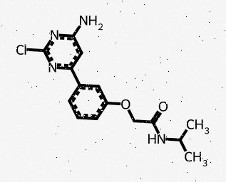 CC(C)NC(=O)COc1cccc(-c2cc(N)nc(Cl)n2)c1